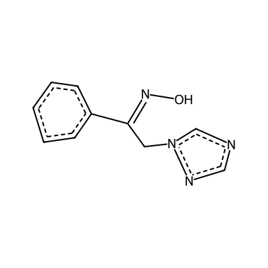 ON=C(Cn1cncn1)c1ccccc1